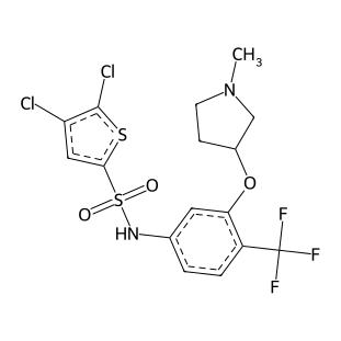 CN1CCC(Oc2cc(NS(=O)(=O)c3cc(Cl)c(Cl)s3)ccc2C(F)(F)F)C1